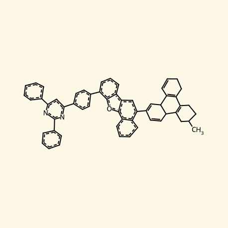 CC1CCC2=C(C1)C1C=CC(c3cc4c5cccc(-c6ccc(-c7cc(-c8ccccc8)nc(-c8ccccc8)n7)cc6)c5oc4c4ccccc34)=CC1C1=C2CCC=C1